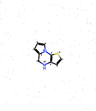 c1cc2n(c1)-c1sccc1NC2